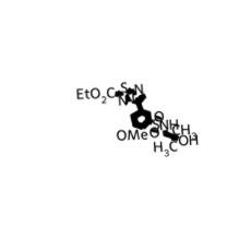 CCOC(=O)c1nn2c(-c3ccc(OC)c(S(=O)(=O)NCC(C)(C)O)c3)cnc2s1